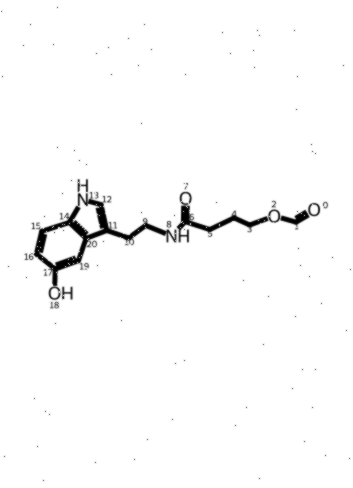 O=COCCCC(=O)NCCc1c[nH]c2ccc(O)cc12